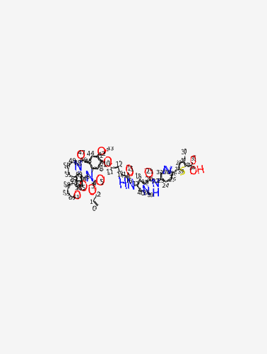 C=CCOC(=O)N1c2cc(OCCCC(=O)Nc3cc(C(=O)Nc4ccc(-c5cc(C)c(C(=O)O)s5)nc4)n(C)c3)c(OC)cc2C(=O)N2CCCC[C@H]2C1OC1CCCCO1